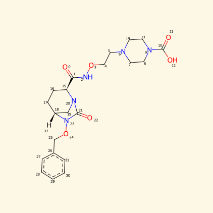 O=C(NOCCN1CCN(C(=O)O)CC1)[C@@H]1CC[C@@H]2CN1C(=O)N2OCc1ccccc1